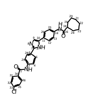 O=C(Nc1ccc(-c2ncc(-c3ccc(NC(=O)C4CCCCCC4)cc3)[nH]2)cc1)c1ccc(Cl)cc1